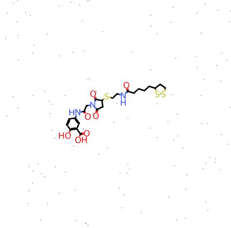 O=C(CCCCC1CCSS1)NCCSC1CC(=O)N(CC(=O)Nc2ccc(O)c(C(=O)O)c2)C1=O